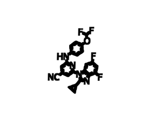 N#Cc1cc(Nc2ccc(OC(F)F)cc2)nc(-n2c(C3CC3)nc3c(F)cc(F)cc32)c1